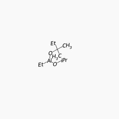 C[CH2][Al]([O]C(C)C)[O]C(C)(C)CC